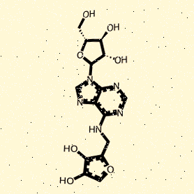 OC[C@H]1OC(n2cnc3c(NCc4occ(O)c4O)ncnc32)[C@@H](O)[C@@H]1O